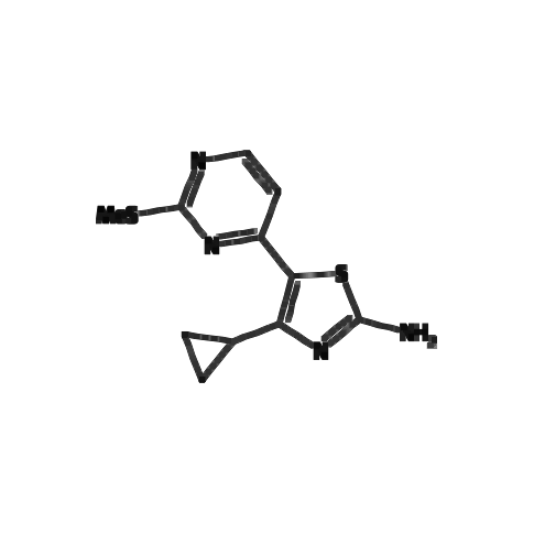 CSc1nccc(-c2sc(N)nc2C2CC2)n1